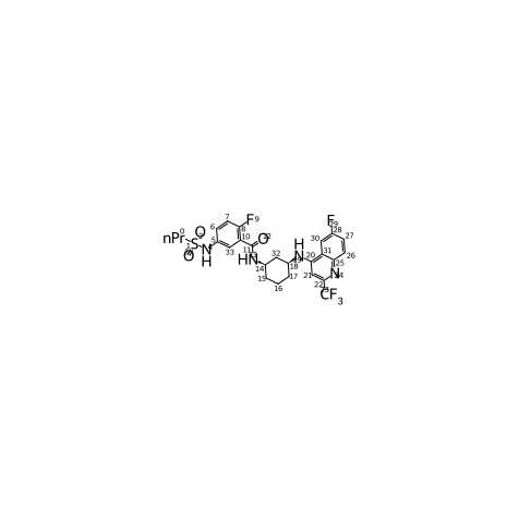 CCCS(=O)(=O)Nc1ccc(F)c(C(=O)N[C@@H]2CCC[C@H](Nc3cc(C(F)(F)F)nc4ccc(F)cc34)C2)c1